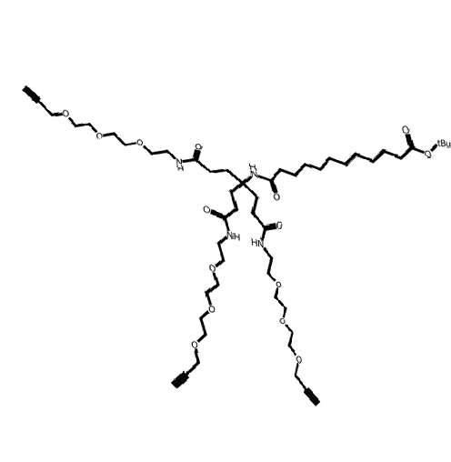 C#CCOCCOCCOCCNC(=O)CCC(CCC(=O)NCCOCCOCCOCC#C)(CCC(=O)NCCOCCOCCOCC#C)NC(=O)CCCCCCCCCCC(=O)OC(C)(C)C